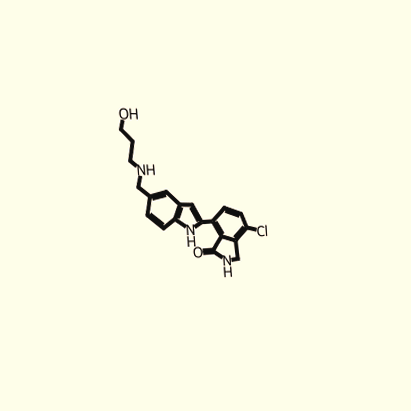 O=C1NCc2c(Cl)ccc(-c3cc4cc(CNCCCO)ccc4[nH]3)c21